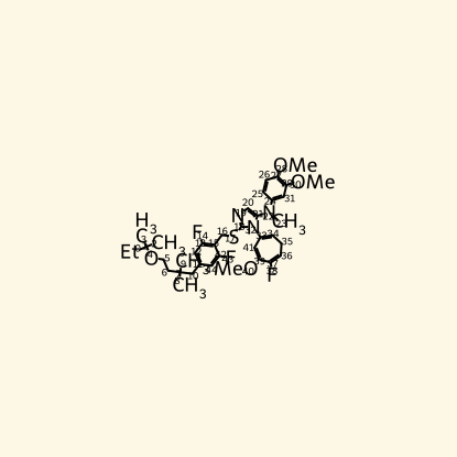 CCC(C)(C)OCCC(C)(C)Cc1cc(F)c(CSc2ncc(N(C)c3ccc(OC)c(OC)c3)n2C2=CCC=C(F)C(OC)=C2)c(F)c1